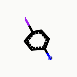 [N]c1ccc(I)cc1